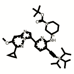 COc1cc2ncc(-c3ccc(C#C[Si](C(C)C)(C(C)C)C(C)C)c(N[C@@H]4CCCN(C(=O)OC(C)(C)C)C4)n3)n2nc1C1CC1